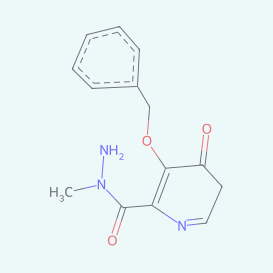 CN(N)C(=O)C1=C(OCc2ccccc2)C(=O)CC=N1